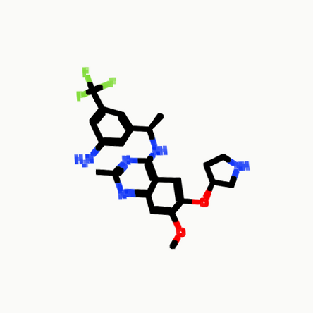 COc1cc2nc(C)nc(N[C@H](C)c3cc(N)cc(C(F)(F)F)c3)c2cc1O[C@H]1CCNC1